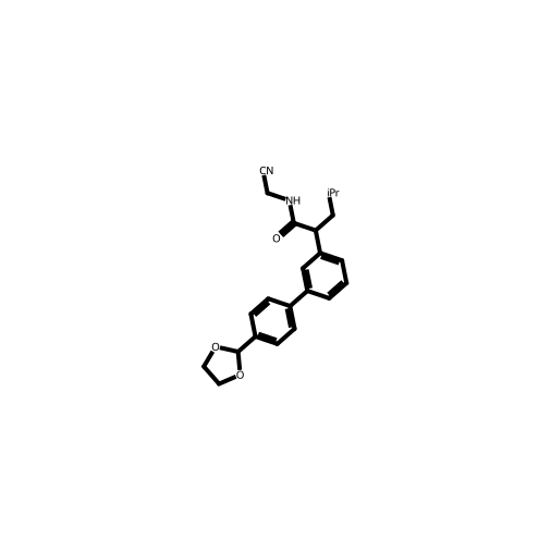 CC(C)CC(C(=O)NCC#N)c1cccc(-c2ccc(C3OCCO3)cc2)c1